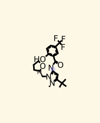 Cn1c(C(C)(C)C)c/c(=N\C(=O)c2cc(C(F)(F)F)ccc2O)n1C[C@H]1CCCO1